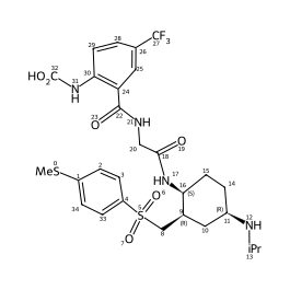 CSc1ccc(S(=O)(=O)C[C@@H]2C[C@H](NC(C)C)CC[C@@H]2NC(=O)CNC(=O)c2cc(C(F)(F)F)ccc2NC(=O)O)cc1